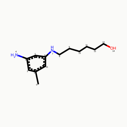 Cc1cc(N)cc(NCCCCCCO)c1